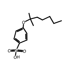 CCCCCC(C)(C)Oc1ccc(S(=O)(=O)O)cc1